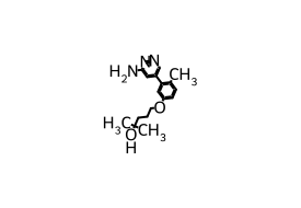 Cc1ccc(OCCCC(C)(C)O)cc1-c1cnnc(N)c1